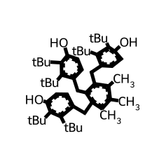 Cc1c(C)c(Cc2ccc(O)c(C(C)(C)C)c2C(C)(C)C)c(Cc2ccc(O)c(C(C)(C)C)c2C(C)(C)C)c(Cc2ccc(O)c(C(C)(C)C)c2C(C)(C)C)c1C